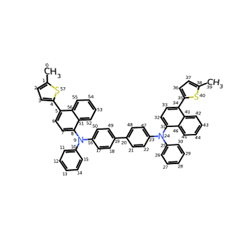 Cc1ccc(-c2ccc(N(c3ccccc3)c3ccc(-c4ccc(N(c5ccccc5)c5ccc(-c6ccc(C)s6)c6ccccc56)cc4)cc3)c3ccccc23)s1